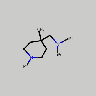 CCCN(CC1(C)CCN(C(C)C)CC1)C(C)C